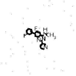 CNc1nc(-c2cccnc2)nc2cc(-c3cccc(F)c3)c(F)cc12